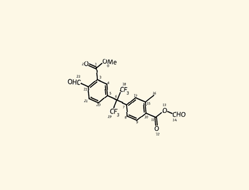 COC(=O)c1cc(C(c2ccc(C(=O)OC=O)c(C)c2)(C(F)(F)F)C(F)(F)F)ccc1C=O